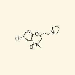 CN1CC(CCN2CCCC2)Oc2ncc(Cl)cc2C1=O